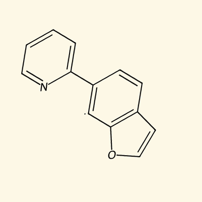 [c]1c(-c2ccccn2)ccc2ccoc12